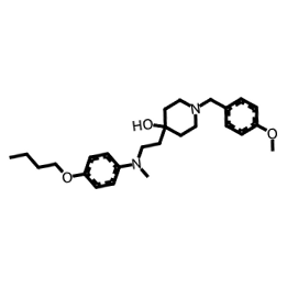 CCCCOc1ccc(N(C)CCC2(O)CCN(Cc3ccc(OC)cc3)CC2)cc1